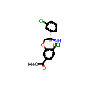 COC(=O)c1ccc2c(c1)OC[C@H](c1cccc(Cl)c1)NC2.Cl